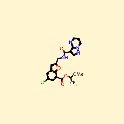 COC(OC(=O)c1cc(Cl)cc2cc(CNC(=O)c3cnn4cccnc34)oc12)C(F)(F)F